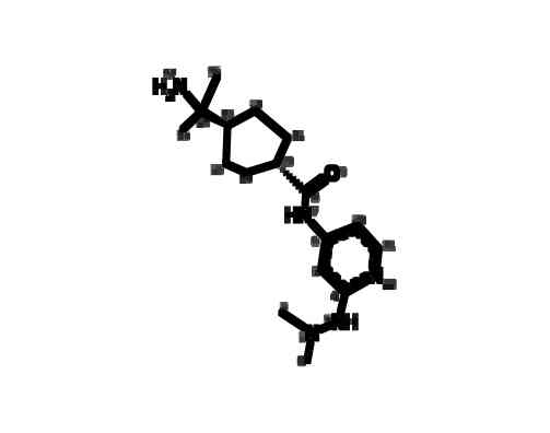 CN(C)Nc1cc(NC(=O)[C@H]2CC[C@H](C(C)(C)N)CC2)ccn1